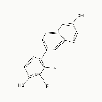 Oc1ccc2cc(-c3ccc(O)c(F)c3F)ccc2c1